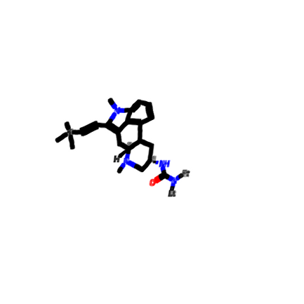 CCN(CC)C(=O)N[C@H]1CC2c3cccc4c3c(c(C#C[Si](C)(C)C)n4C)C[C@H]2N(C)C1